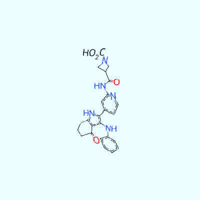 O=C1CCCc2[nH]c(-c3ccnc(NC(=O)C4CN(C(=O)O)C4)c3)c(Nc3ccccc3)c21